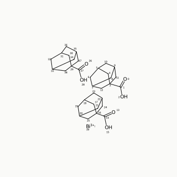 O=C(O)C12CC3CC(CC(C3)C1)C2.O=C(O)C12CC3CC(CC(C3)C1)C2.O=C(O)C12CC3CC(CC(C3)C1)C2.[Bi+3]